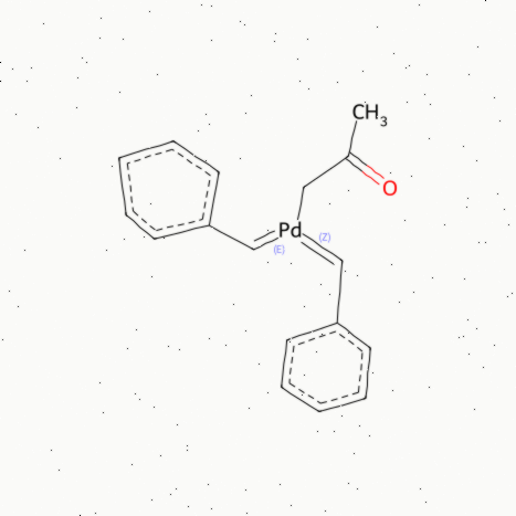 CC(=O)[CH2]/[Pd](=[CH]/c1ccccc1)=[CH]\c1ccccc1